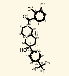 O=C(c1cccc(F)c1Cl)N1CCN2C[C@@](O)(c3ccc(C(F)(F)F)cn3)CC[C@@H]2C1